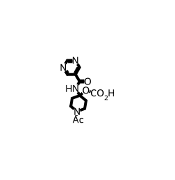 CC(=O)N1CCC(NC(=O)c2cncnc2)(OC(=O)O)CC1